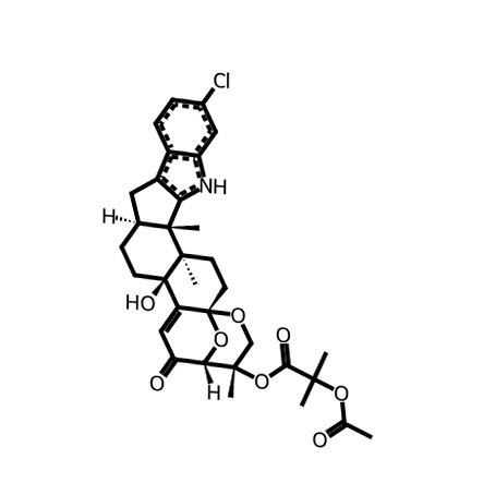 CC(=O)OC(C)(C)C(=O)O[C@@]1(C)CO[C@@]23CC[C@@]4(C)[C@@](O)(CC[C@H]5Cc6c([nH]c7cc(Cl)ccc67)[C@@]54C)C2=CC(=O)[C@@H]1O3